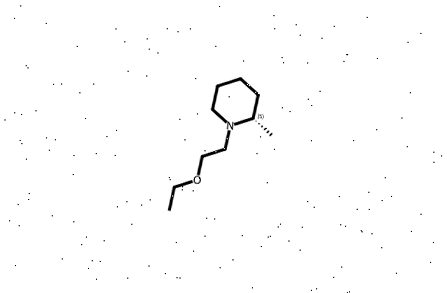 CCOCCN1CCCC[C@@H]1C